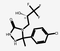 CC1(c2ccc(Cl)cc2)NNC(=O)N1C[C@H](O)C(F)(F)F